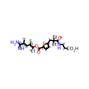 CC/C(OC(=O)c1ccc(CC(CC)(CC)C(=O)NCCC(=O)O)s1)=C(F)\C=C(/C)C(=N)N